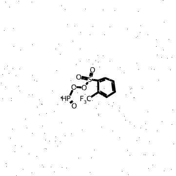 C[PH](=O)OOS(=O)(=O)c1ccccc1C(F)(F)F